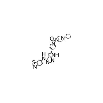 O=C(N1CC=C(c2cc3c(Nc4ccc5ncsc5c4)ncnc3[nH]2)CC1)N1CCN(C2CCCC2)CC1